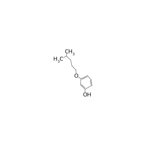 CC(C)CCCOc1cccc(O)c1